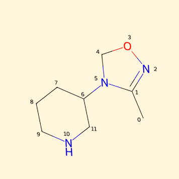 CC1=NOCN1C1CCCNC1